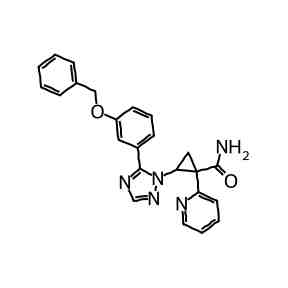 NC(=O)C1(c2ccccn2)CC1n1ncnc1-c1cccc(OCc2ccccc2)c1